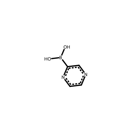 OB(O)c1cnccn1